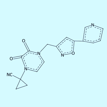 N#CC1(n2ccn(Cc3cc(-c4cccnc4)on3)c(=O)c2=O)CC1